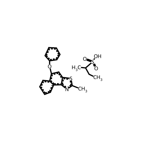 CCC(C)S(=O)(=O)O.Cc1nc2c(cc(Oc3ccccc3)c3ccccc32)s1